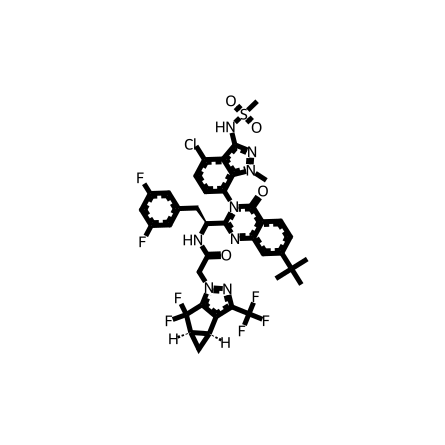 Cn1nc(NS(C)(=O)=O)c2c(Cl)ccc(-n3c([C@H](Cc4cc(F)cc(F)c4)NC(=O)Cn4nc(C(F)(F)F)c5c4C(F)(F)[C@@H]4C[C@H]54)nc4cc(C(C)(C)C)ccc4c3=O)c21